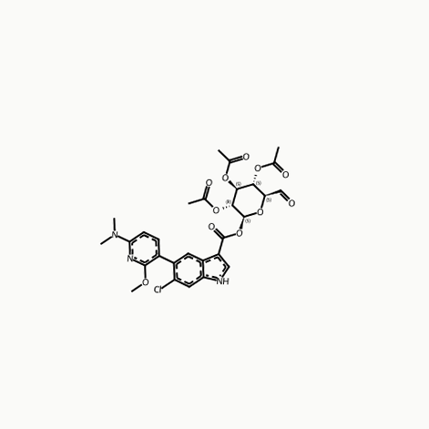 COc1nc(N(C)C)ccc1-c1cc2c(C(=O)O[C@@H]3O[C@H](C=O)[C@@H](OC(C)=O)[C@H](OC(C)=O)[C@H]3OC(C)=O)c[nH]c2cc1Cl